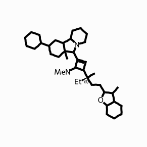 CC[C@@](C)(CCC1OC2CCCCC2C1C)C1C=C(C2N3CCCCC3C3CC(C4CCCCC4)CCC32C)C1NC